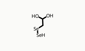 OC(O)C[Se][SeH]